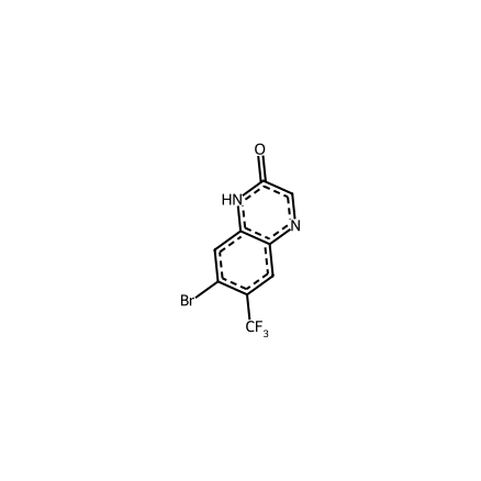 O=c1cnc2cc(C(F)(F)F)c(Br)cc2[nH]1